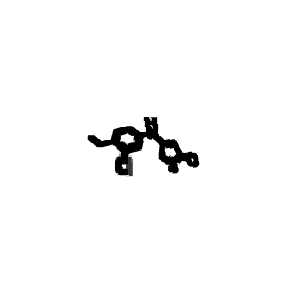 CCc1ccc(NC2=CC(=O)SC2)cc1Cl